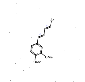 COc1ccc(/C=C/C=C/C(C)=O)cc1OC